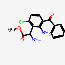 CC(C)(C)OC(=O)C(N)c1c(Cl)ccc(C(=O)c2ccccc2)c1N